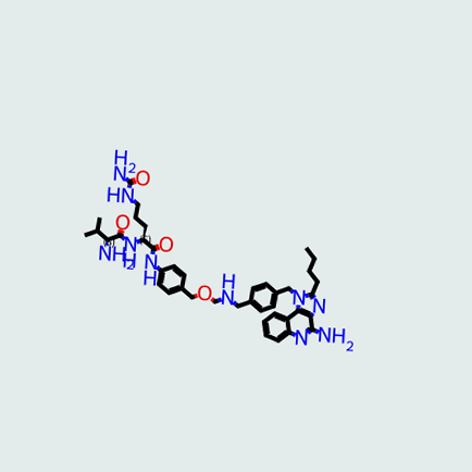 CCCCc1nc2c(N)nc3ccccc3c2n1Cc1ccc(CNCOCc2ccc(NC(=O)[C@H](CCCNC(N)=O)NC(=O)[C@@H](N)C(C)C)cc2)cc1